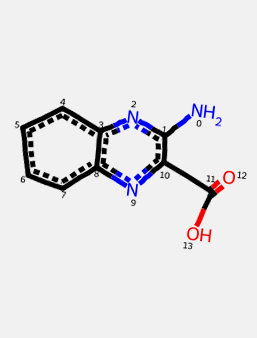 Nc1nc2ccccc2nc1C(=O)O